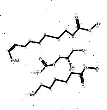 CCCCCCCC(=O)OCC(O)CO.CCCCCCCC/C=C\CCCCCCCC(=O)OC(C)C.CCCCCCCCCCCCCCCC(=O)OC(C)C